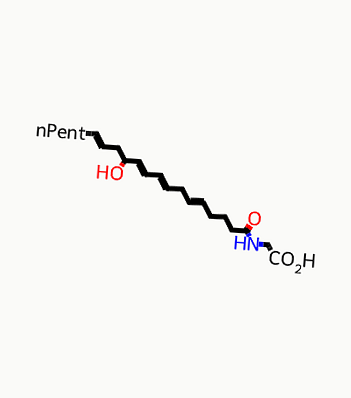 CCCCCC=CCC(O)C=CC=CCC=CCCCC(=O)NCC(=O)O